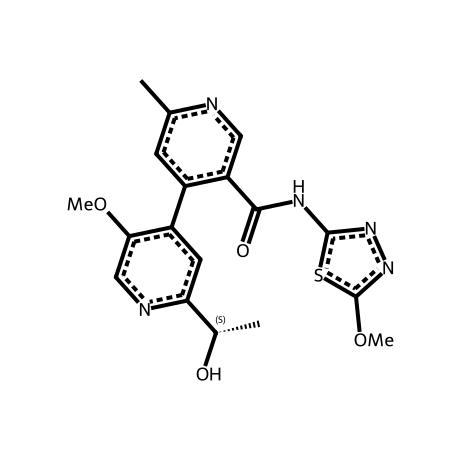 COc1nnc(NC(=O)c2cnc(C)cc2-c2cc([C@H](C)O)ncc2OC)s1